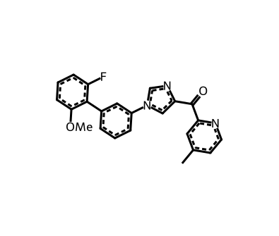 COc1cccc(F)c1-c1cccc(-n2cnc(C(=O)c3cc(C)ccn3)c2)c1